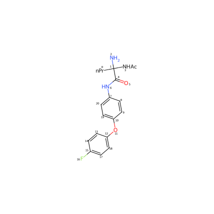 CCCC(N)(NC(C)=O)C(=O)Nc1ccc(Oc2ccc(F)cc2)cc1